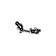 COc1cc2c(cc1OCCCCCOc1cc3c(cc1OC)C(=O)N1CC4(CC4)C[C@H]1CN3)N=C[C@@H]1Cc3ccccc3CN1C2=O